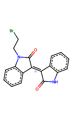 O=C1Nc2ccccc2/C1=C1\C(=O)N(CCBr)c2ccccc21